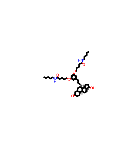 CCCCCNC(=O)CCCCOc1cc(CCC[C@@H]2CC3CC(=O)CC[C@]3(C)[C@H]3CC[C@]4(C)[C@@H](O)CC[C@H]4[C@H]23)cc(OCCCCC(=O)NCCCCC)c1